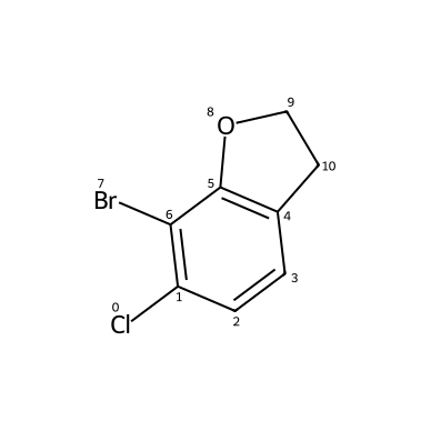 Clc1ccc2c(c1Br)OCC2